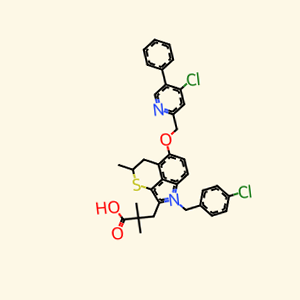 CC1Cc2c(OCc3cc(Cl)c(-c4ccccc4)cn3)ccc3c2c(c(CC(C)(C)C(=O)O)n3Cc2ccc(Cl)cc2)S1